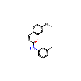 Cc1cccc(NC(=O)/C=C\c2ccc([N+](=O)[O-])cc2)c1